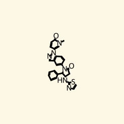 Cn1cc(-n2ncc3cc(N4C(=O)CC(Nc5nccs5)C4c4ccccc4)ccc32)ccc1=O